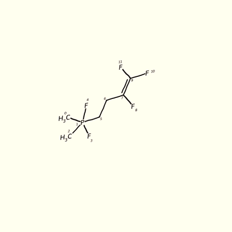 CP(C)(F)(F)CCC(F)=C(F)F